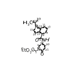 CCOC(=O)Cn1cc(NC(=O)c2cccc3c2ccn3C(C)I)ccc1=O